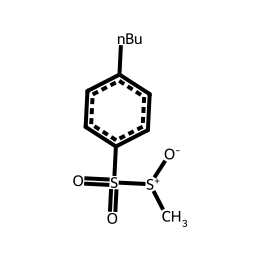 [CH2]CCCc1ccc(S(=O)(=O)[S+](C)[O-])cc1